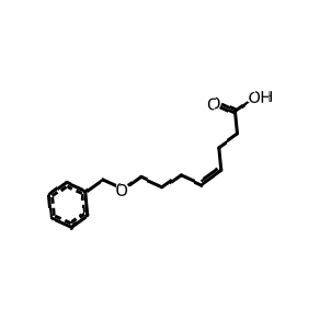 O=C(O)CC/C=C\CCCOCc1ccccc1